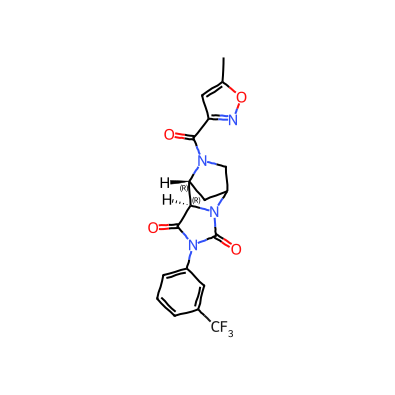 Cc1cc(C(=O)N2CC3C[C@@H]2[C@@H]2C(=O)N(c4cccc(C(F)(F)F)c4)C(=O)N32)no1